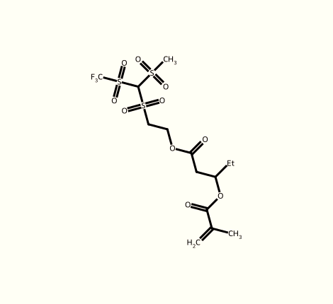 C=C(C)C(=O)OC(CC)CC(=O)OCCS(=O)(=O)C(S(C)(=O)=O)S(=O)(=O)C(F)(F)F